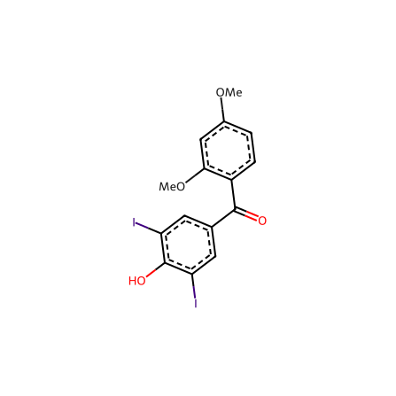 COc1ccc(C(=O)c2cc(I)c(O)c(I)c2)c(OC)c1